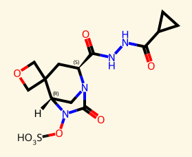 O=C(NNC(=O)[C@@H]1CC2(COC2)[C@@H]2CN1C(=O)N2OS(=O)(=O)O)C1CC1